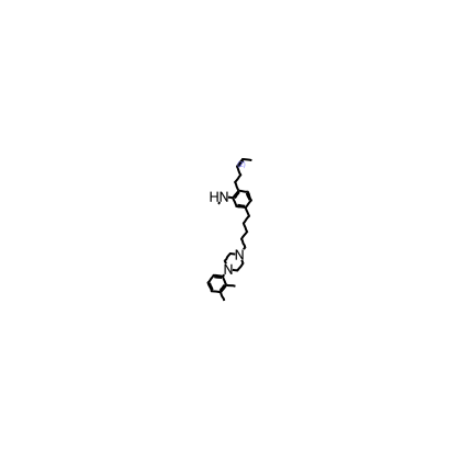 C/C=C\CCc1ccc(CCCCCN2CCN(c3cccc(C)c3C)CC2)cc1NC